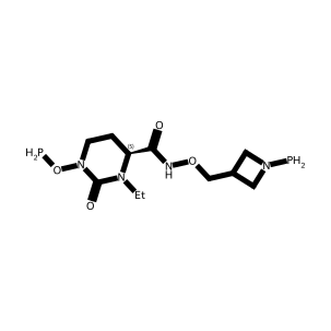 CCN1C(=O)N(OP)CC[C@H]1C(=O)NOCC1CN(P)C1